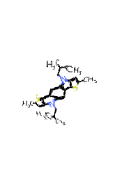 Cc1cc2c(s1)c1cc3c(cc1n2CC(C)C)c1sc(C)cc1n3CC(C)C